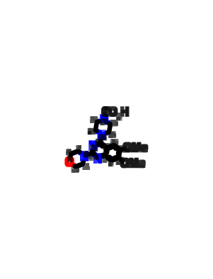 COc1cc2nc(N3CCOCC3)nc(N3CCN(C(=O)O)CC3)c2cc1OC